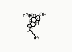 CCCOC1C[C@H]2[C@@H]3CC[C@H]([C@H](C)CCCC(C)C)[C@@]3(C)CC[C@@H]2[C@@]2(C)CCC(O)CC12O